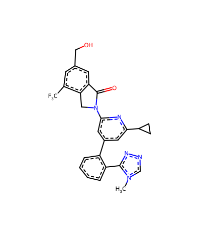 Cn1cnnc1-c1ccccc1-c1cc(C2CC2)nc(N2Cc3c(cc(CO)cc3C(F)(F)F)C2=O)c1